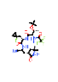 C[C@@H](OC(C)(C)C)[C@H](NC(=O)C(F)(F)F)C(=O)N[C@H](CC1(F)CC1)C(=O)N[C@H](C#N)C[C@@H]1CC(C)(C)NC1=O